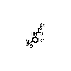 CC(=O)SCC(=O)Nc1cccc(S(=O)(=O)[O-])c1.[K+]